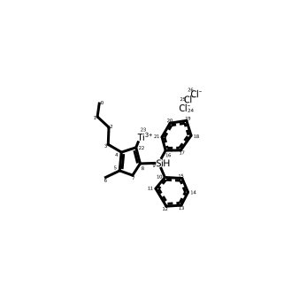 CCCCC1=C(C)CC([SiH](c2ccccc2)c2ccccc2)=[C]1[Ti+3].[Cl-].[Cl-].[Cl-]